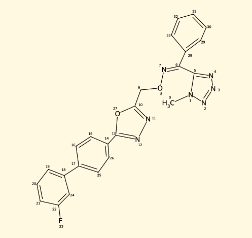 Cn1nnnc1/C(=N\OCc1nnc(-c2ccc(-c3cccc(F)c3)cc2)o1)c1ccccc1